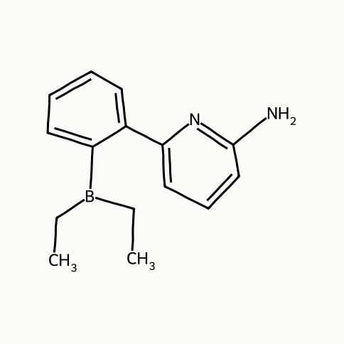 CCB(CC)c1ccccc1-c1cccc(N)n1